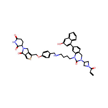 C=CC(=O)N1CC(N2Cc3ccc(-c4cc(O)cc5ccccc45)cc3N(CCCCNCc3ccc(OCc4scc5c4CN(C4CCC(=O)NC4=O)C5=O)cc3)C2=O)C1